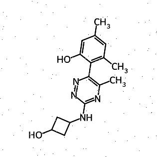 Cc1cc(C)c(-c2nnc(NC3CC(O)C3)nc2C)c(O)c1